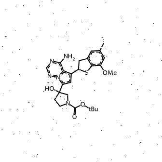 COc1cc(C)cc2c1SC(c1cc(C3(O)CCN(C(=O)OC(C)(C)C)C3)n3ncnc(N)c13)C2